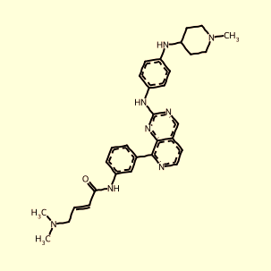 CN(C)C/C=C/C(=O)Nc1cccc(-c2nccc3cnc(Nc4ccc(NC5CCN(C)CC5)cc4)nc23)c1